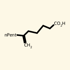 C=C(CCCCC)CCCCC(=O)O